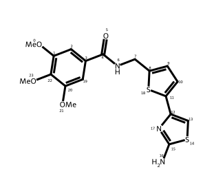 COc1cc(C(=O)NCc2ccc(-c3csc(N)n3)s2)cc(OC)c1OC